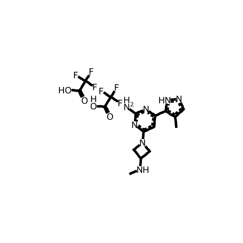 CNC1CN(c2cc(-c3[nH]ncc3C)nc(N)n2)C1.O=C(O)C(F)(F)F.O=C(O)C(F)(F)F